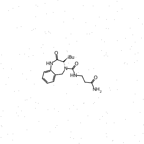 CC[C@H](C)[C@H]1C(=O)Nc2ccccc2CN1C(=O)NCCC(N)=O